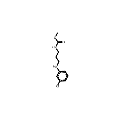 COC(=O)NCCCNc1cccc(Cl)c1